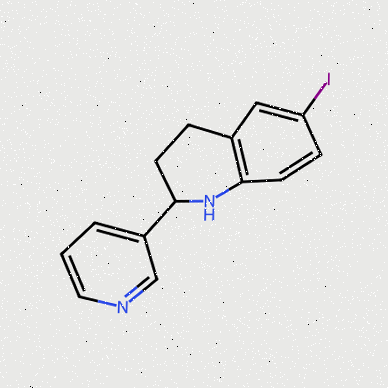 Ic1ccc2c(c1)CCC(c1cccnc1)N2